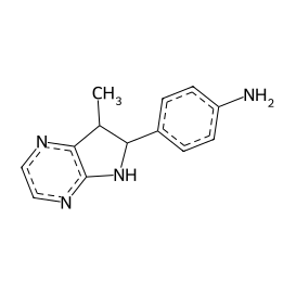 CC1c2nccnc2NC1c1ccc(N)cc1